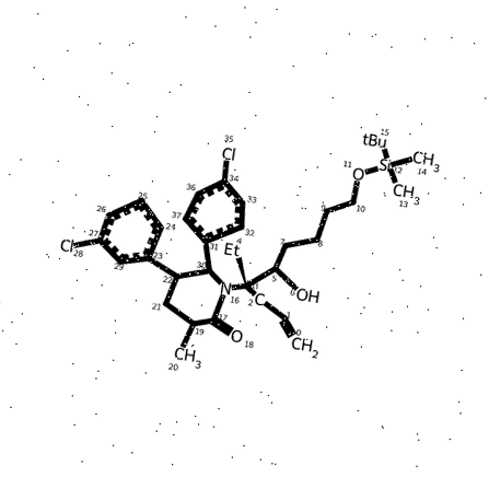 C=CC[C@@](CC)(C(O)CCCCO[Si](C)(C)C(C)(C)C)N1C(=O)C(C)CC(c2cccc(Cl)c2)C1c1ccc(Cl)cc1